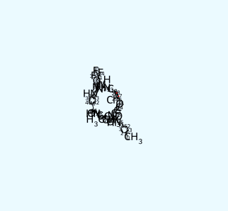 Cc1ccc(CNC(=O)C(=O)N2CCCOc3ccc(cc3Cl)CNc3nc(nc(OCC(F)(F)F)n3)Nc3ccc(cc3)C(=O)NCC(C)(C)C2)cc1